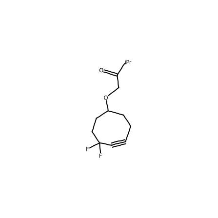 CC(C)C(=O)COC1CCC#CC(F)(F)CC1